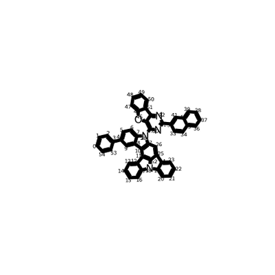 c1ccc(-c2ccc3c(c2)c2c4c5ccccc5n5c6ccccc6c(cc2n3-c2nc(-c3ccc6ccccc6c3)nc3c2oc2ccccc23)c45)cc1